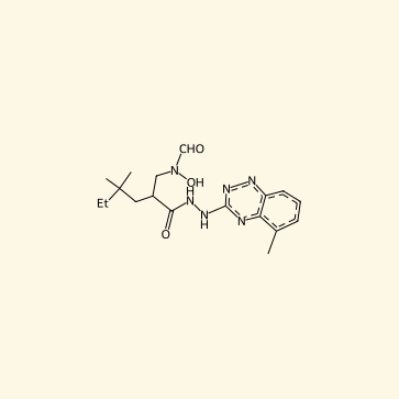 CCC(C)(C)CC(CN(O)C=O)C(=O)NNc1nnc2cccc(C)c2n1